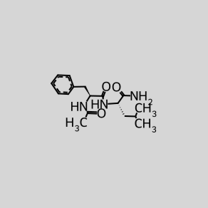 CC(=O)N[C@@H](Cc1ccccc1)C(=O)N[C@@H](CC(C)C)C(N)=O